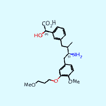 COCCCOc1cc(C[C@H](N)C(C)Cc2cccc([C@@H](O)C(=O)O)c2)ccc1OC